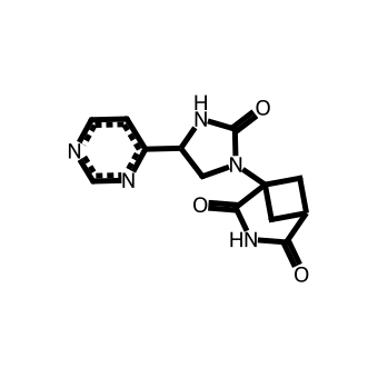 O=C1NC(=O)C2(N3CC(c4ccncn4)NC3=O)CC1C2